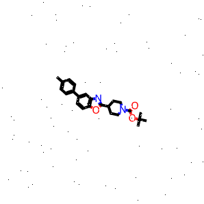 Cc1ccc(-c2ccc3oc(C4CCN(C(=O)OC(C)(C)C)CC4)nc3c2)cc1